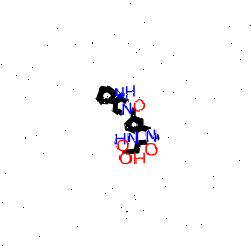 CN1Cc2cc(C(=O)N3CCc4c([nH]c5ccccc45)C3)ccc2NC(CC(=O)O)C1=O